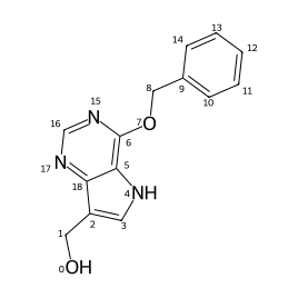 OCc1c[nH]c2c(OCc3ccccc3)ncnc12